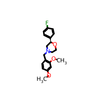 COc1ccc(CN2CCO[C@H](c3ccc(F)cc3)C2)c(OC)c1